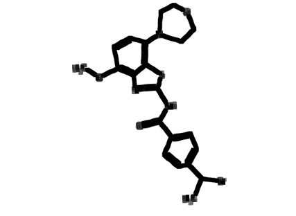 COc1ccc(N2CCOCC2)c2sc(NC(=O)c3ccc(C(C)Br)cc3)nc12